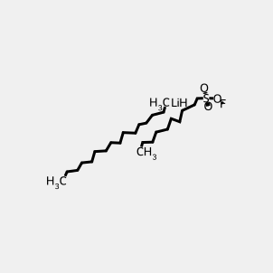 CCCCCCCCCCCCCCCC.CCCCCCCCCCS(=O)(=O)OF.[LiH]